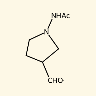 CC(=O)NN1CCC([C]=O)C1